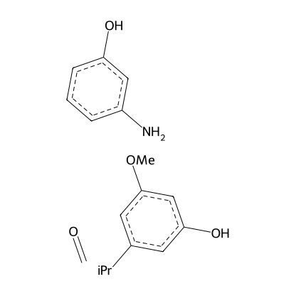 C=O.COc1cc(O)cc(C(C)C)c1.Nc1cccc(O)c1